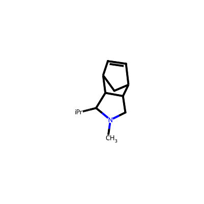 CC(C)C1C2C3C=CC(C3)C2CN1C